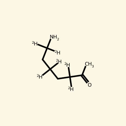 [2H]C([2H])(N)CC([2H])([2H])CC([2H])([2H])C(C)=O